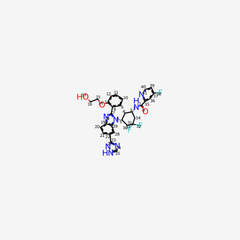 O=C(N[C@H]1C[C@@H](n2c(-c3ccccc3OCCO)nc3ccc(-c4nc[nH]n4)cc32)CC(F)(F)C1)c1cc(F)ccn1